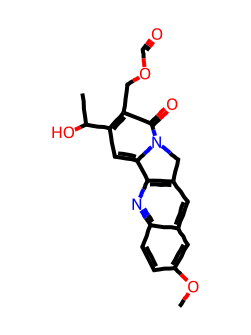 COc1ccc2nc3c(cc2c1)Cn1c-3cc(C(C)O)c(COC=O)c1=O